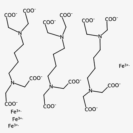 O=C([O-])CN(CCCCN(CC(=O)[O-])CC(=O)[O-])CC(=O)[O-].O=C([O-])CN(CCCCN(CC(=O)[O-])CC(=O)[O-])CC(=O)[O-].O=C([O-])CN(CCCCN(CC(=O)[O-])CC(=O)[O-])CC(=O)[O-].[Fe+3].[Fe+3].[Fe+3].[Fe+3]